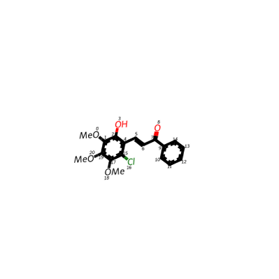 COc1c(O)c(C=CC(=O)c2ccccc2)c(Cl)c(OC)c1OC